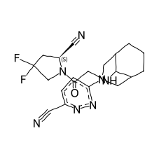 N#Cc1ccc(N2CC3CCCC(C2)C3NCC(=O)N2CC(F)(F)C[C@H]2C#N)nn1